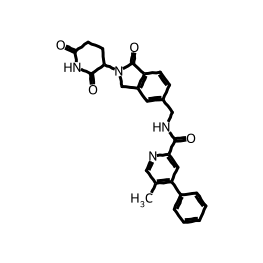 Cc1cnc(C(=O)NCc2ccc3c(c2)CN(C2CCC(=O)NC2=O)C3=O)cc1-c1ccccc1